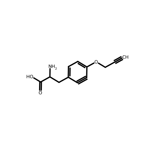 C#CCOc1c#cc(CC(N)C(=O)O)cc1